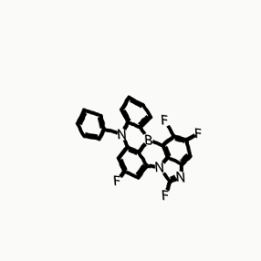 Fc1cc2c3c(c1)-n1c(F)nc4cc(F)c(F)c(c41)B3c1ccccc1N2c1ccccc1